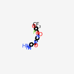 O=C(OCc1ccc(OC(F)(F)F)cc1F)N1CCC2(CC1)CN(C(=O)C1CCc3[nH]nnc3C1)C2